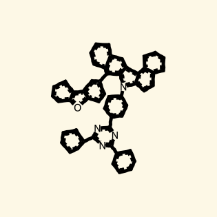 c1ccc(-c2nc(-c3ccccc3)nc(-c3ccc(-n4c5ccc6ccccc6c5c5cc6ccccc6c(-c6ccc7oc8ccccc8c7c6)c54)cc3)n2)cc1